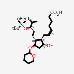 CCCCCC(C)[C@H](CC[C@H]1C(OC2CCCCO2)C[C@H](O)[C@@H]1C/C=C\CCCC(=O)O)O[Si](C)(C)C(C)(C)C